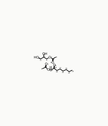 CC(=O)O.CC(=O)OCC(O)CO.CCCCCCC(=O)O